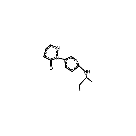 CCC(C)Nc1ccc(-n2ncccc2=O)cn1